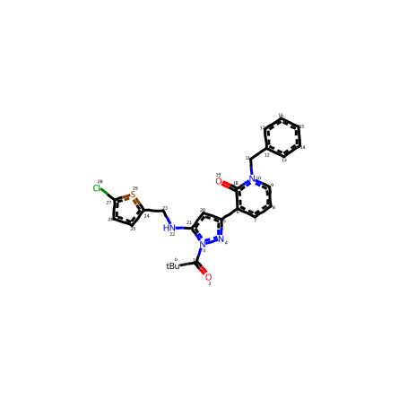 CC(C)(C)C(=O)n1nc(-c2cccn(Cc3ccccc3)c2=O)cc1NCc1ccc(Cl)s1